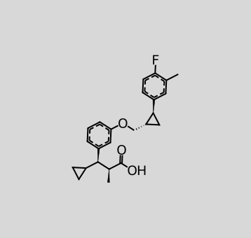 Cc1cc([C@H]2C[C@@H]2COc2cccc([C@H](C3CC3)[C@H](C)C(=O)O)c2)ccc1F